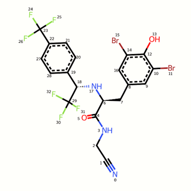 N#CCNC(=O)[C@H](Cc1cc(Br)c(O)c(Br)c1)N[C@@H](c1ccc(C(F)(F)F)cc1)C(F)(F)F